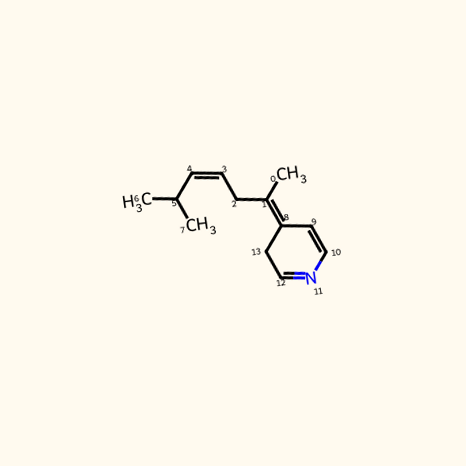 C/C(C/C=C\C(C)C)=C1\C=CN=CC1